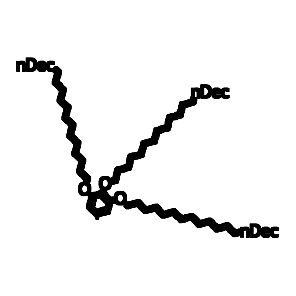 CCCCCCCCCCCCCCCCCCCCCCCOc1c[c]cc(OCCCCCCCCCCCCCCCCCCCCCCC)c1OCCCCCCCCCCCCCCCCCCCCCCC